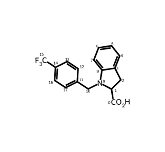 O=C(O)C1Cc2ccccc2N1Cc1ccc(C(F)(F)F)cc1